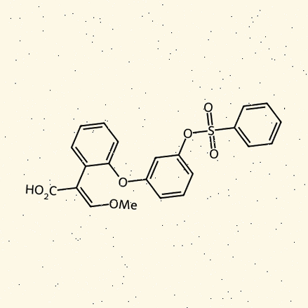 CO/C=C(/C(=O)O)c1ccccc1Oc1cccc(OS(=O)(=O)c2ccccc2)c1